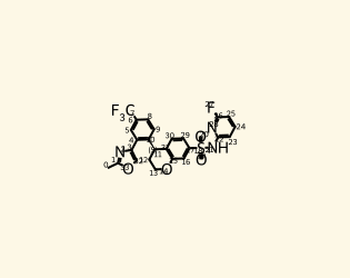 Cc1nc(-c2cc(C(F)(F)F)ccc2[C@@H]2CCOc3cc(S(=O)(=O)Nc4cccc(F)n4)ccc32)co1